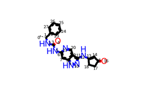 C[C@@H](NC(=O)Nc1cc2[nH]nc(NC3=CC(=O)CC3)c2cn1)c1ccccc1